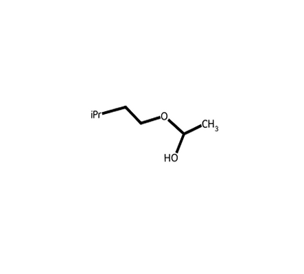 CC(C)CCOC(C)O